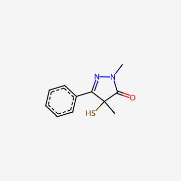 CN1N=C(c2ccccc2)C(C)(S)C1=O